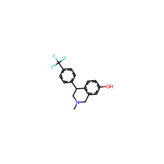 CN1Cc2cc(O)ccc2C(c2ccc(C(F)(F)F)cc2)C1